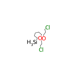 ClCCCOCCCCl.[SiH3]C1CCCCO1